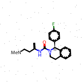 C=C(CCNC)NC(=O)N1CCc2ccccc2[C@@H]1c1ccc(F)cc1